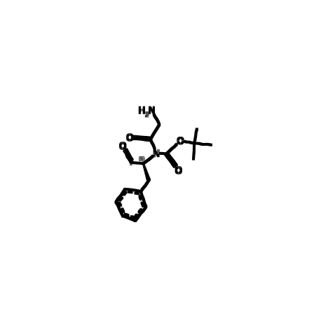 CC(C)(C)OC(=O)N(C(=O)CN)[C@H]([C]=O)Cc1ccccc1